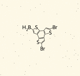 Bc1cc2c(s1)c1cc(Br)sc1c1cc(Br)sc21